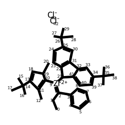 CC/[C](c1ccccc1)=[Zr+2](\[C]1=C(C)C(C(C)(C)C)=CC1C)[CH]1c2ccc(C(C)(C)C)cc2-c2cc(C(C)(C)C)ccc21.[Cl-].[Cl-]